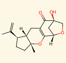 C=C(C)[C@@H]1CC[C@@]2(C)OC3=C(C[C@@H]12)C(=O)[C@]1(O)CO[C@H]3C1